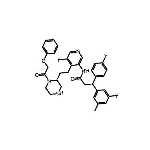 Cc1cc(F)cc([C@@H](CC(=O)Nc2cncc(F)c2CC[C@H]2CNCCN2C(=O)COc2ccccc2)c2ccc(F)cc2)c1